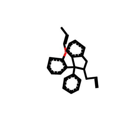 C=CCC1Cc2ccccc2C1(c1ccccc1)c1ccccc1OC=CC